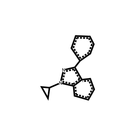 c1ccc(-c2nn(C3CC3)c3ccccc23)cc1